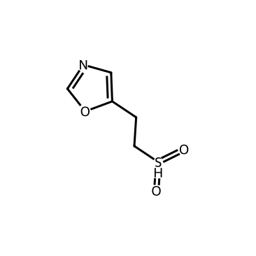 O=[SH](=O)CCc1cnco1